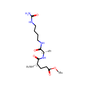 CC(=O)N[C@@H](CCC(=O)OC(C)(C)C)C(=O)N[C@H](C(=O)NCCCCNC(N)=O)C(C)C